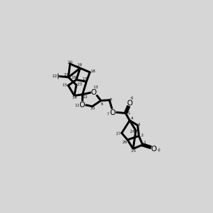 O=C1C2CC3(C(=O)OCC4COC5(O4)C4CC6C5CC65CC5(I)C4)CC1C2C3